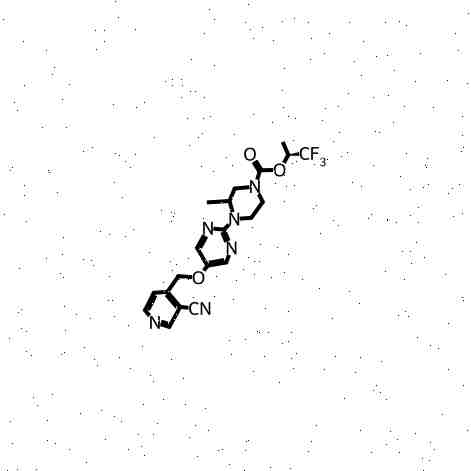 CC1CN(C(=O)O[C@@H](C)C(F)(F)F)CCN1c1ncc(OCc2ccncc2C#N)cn1